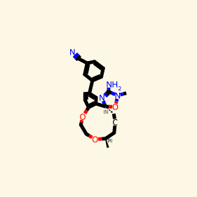 C[C@@H]1CCC[C@@]2(N=C(N)N(C)O2)c2cc(-c3cccc(C#N)c3)ccc2OCCO1